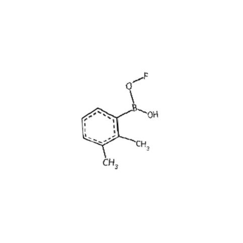 Cc1cccc(B(O)OF)c1C